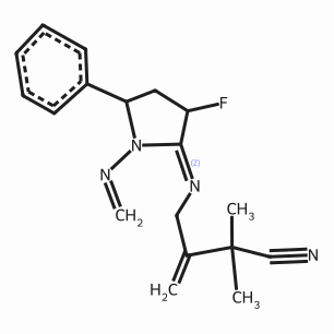 C=NN1/C(=N\CC(=C)C(C)(C)C#N)C(F)CC1c1ccccc1